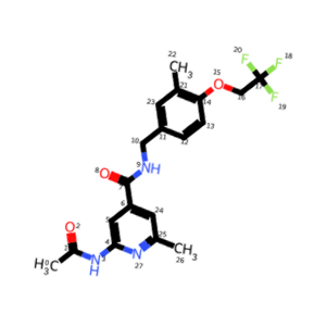 CC(=O)Nc1cc(C(=O)NCc2ccc(OCC(F)(F)F)c(C)c2)cc(C)n1